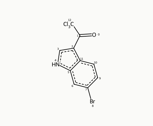 O=C(c1c[nH]c2cc(Br)ccc12)C(Cl)(Cl)Cl